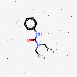 CCN(CC)C(=O)Nc1c[c]ccc1